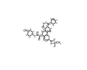 CC1(F)CN(C(=O)Cn2c(=O)c(C(=O)NCc3ccc(Cl)cc3)cc3c4c(cnc32)N(c2cccnc2)CCO4)C1